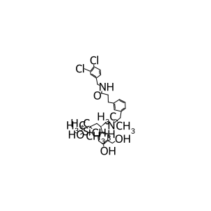 CC(C)(Cc1cccc(CCC(=O)NCc2ccc(Cl)c(Cl)c2)c1)NC[C@H](CC(C)(C)[Si](C)(C)O)c1ccc(O)c(CO)c1